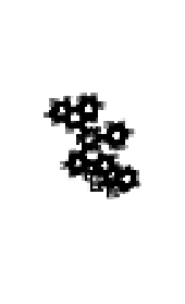 CCC1(CC)c2ccccc2-c2ccc3c(oc4cccc(-c5nc(-c6ccccc6)nc(-c6cc7ccccc7c7ccccc67)n5)c43)c21